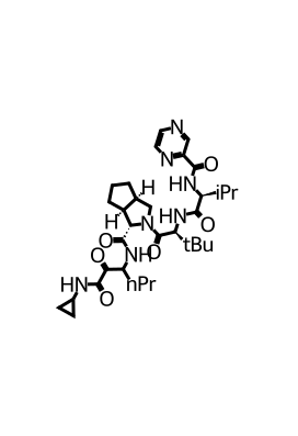 CCCC(NC(=O)[C@@H]1[C@H]2CCC[C@H]2CN1C(=O)[C@@H](NC(=O)[C@@H](NC(=O)c1cnccn1)C(C)C)C(C)(C)C)C(=O)C(=O)NC1CC1